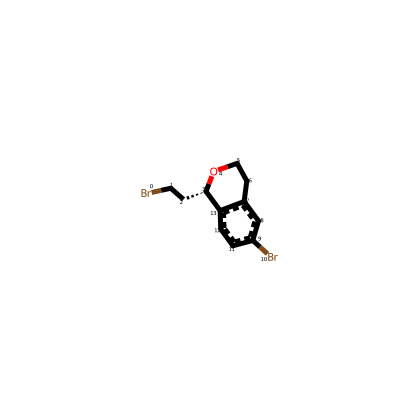 BrCC[C@@H]1OCCc2cc(Br)ccc21